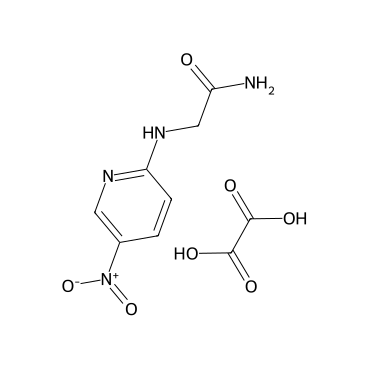 NC(=O)CNc1ccc([N+](=O)[O-])cn1.O=C(O)C(=O)O